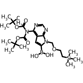 CC(C)(C)OC(=O)N(C(=O)OC(C)(C)C)c1ncnc2c1cc(B(O)O)n2COCC[Si](C)(C)C